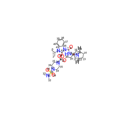 CC(C)n1c(=O)n(C(=O)N[C@H]2C[C@H]3CC[C@@H](C2)N3CCCOC(=O)N2CCN(S(=O)(=O)N(C)C)CC2)c2ccccc21